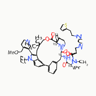 CCn1c(-c2cnccc2COC)c2c3cc(ccc31)-c1cccc(c1)C[C@H](NC(=O)[C@H](C(C)C)N(C)C(=O)CCN=C=NCCc1cccs1)C(=O)N1CCC[C@H](N1)C(=O)OCC(C)(C)C2